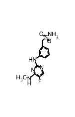 CNc1nc(Nc2cccc(CS(N)(=O)=O)c2)ncc1F